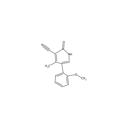 COc1ccccc1-c1c[nH]c(=O)c(C#N)c1C